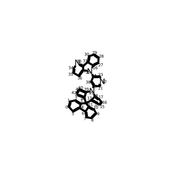 c1ccc2c(c1)-c1ccccc1C21c2ccccc2N(c2cncc(-n3c4ccccc4c4ncccc43)c2)c2ccccc21